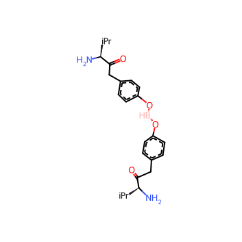 CC(C)[C@H](N)C(=O)Cc1ccc(OBOc2ccc(CC(=O)[C@@H](N)C(C)C)cc2)cc1